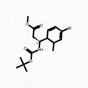 COC(=O)C[C@H](NC(=O)OC(C)(C)C)C1C=CC(Br)=CC1C